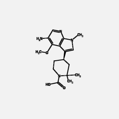 COc1c(N)cnc2c1c([C@@H]1CCN(C(=O)O)C(C)(C)C1)cn2C